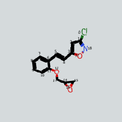 Clc1cc(C=Cc2ccccc2OCC2CO2)on1